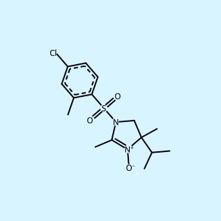 CC1=[N+]([O-])C(C)(C(C)C)CN1S(=O)(=O)c1ccc(Cl)cc1C